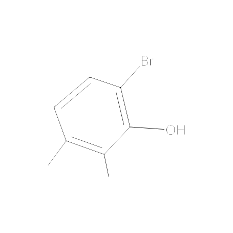 Cc1ccc(Br)c(O)c1C